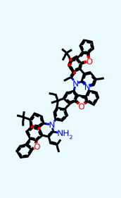 CCC1(C)c2cc(N(/C(N)=C(/C=C(C)C)c3cccc4c3oc3ccccc34)c3ccc(C(C)(C)C)cc3)ccc2-c2c1cc(N(/C(C)=C/C=C(\C)C(C)(C)C)c1ncc(C)cc1-c1cccc3c1oc1ccccc13)c1c2oc2ccccc21